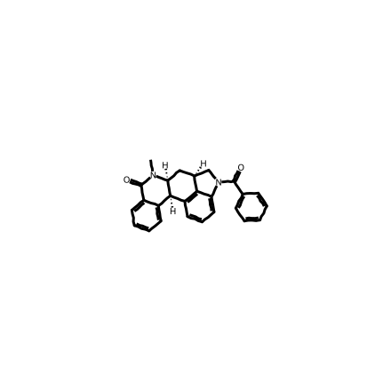 CN1C(=O)c2ccccc2[C@@H]2c3cccc4c3[C@@H](C[C@@H]21)CN4C(=O)c1ccccc1